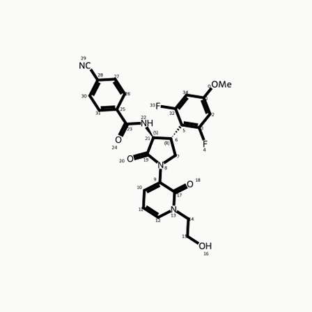 COc1cc(F)c([C@@H]2CN(c3cccn(CCO)c3=O)C(=O)[C@H]2NC(=O)c2ccc(C#N)cc2)c(F)c1